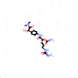 CN(C)C(=O)C(O)c1ccc(NC(=O)[C@H](CCCNC(N)=O)OC(N)=O)cc1